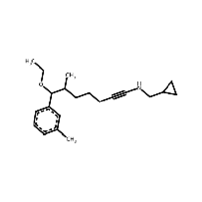 CCOC(c1cccc(C)c1)C(C)CCCC#CNCC1CC1